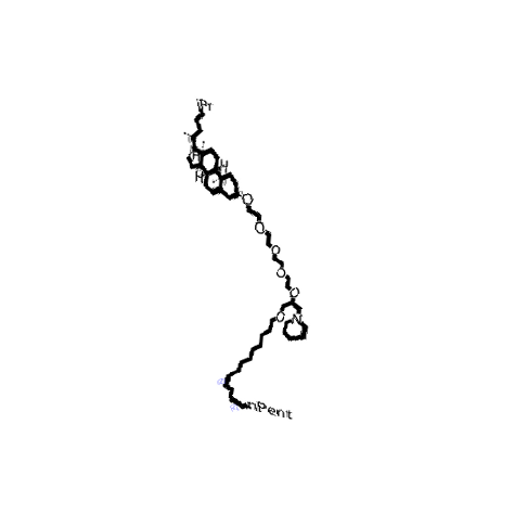 CCCCC/C=C\C/C=C\CCCCCCCCOCC(CN1CCCCC1)OCCOCCOCCOCCO[C@H]1CC[C@@]2(C)C(=CC[C@H]3[C@@H]4CC[C@H]([C@H](C)CCCC(C)C)[C@@]4(C)CC[C@@H]32)C1